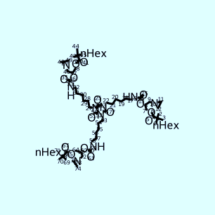 CCCCCCC(C)(C)C(=O)OCC(CN1CC1)OC(=O)NCCCCCCn1c(=O)n(CCCCCCNC(=O)OC(COC(=O)C(C)(C)CCCCCC)CN2CC2)c(=O)n(CCCCCCNC(=O)OC(COC(=O)C(C)(C)CCCCCC)CN2CC2)c1=O